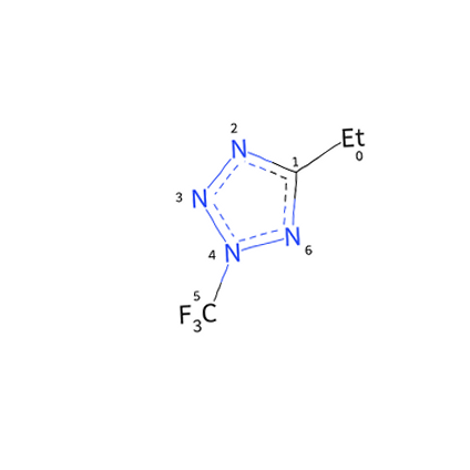 CCc1nnn(C(F)(F)F)n1